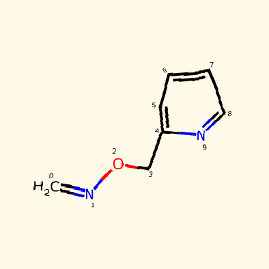 C=NOCc1ccccn1